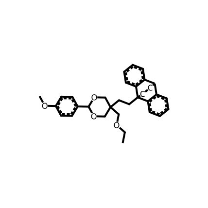 CCOCC1(CCC23CCC(c4ccccc42)c2ccccc23)COC(c2ccc(OC)cc2)OC1